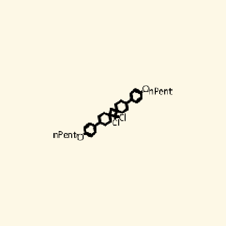 CCCCCOc1ccc(C2CCC3(CC2)CC2(CCC(c4ccc(OCCCCC)cc4)CC2)C3(Cl)Cl)cc1